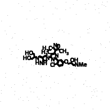 CNC[C@@H](O)COc1ccc(Cl)c(-c2nc(-c3c(C)noc3C)c(C)c(N3CC(=N)/C(=C\NC(CO)CO)C3)n2)c1